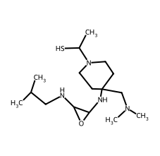 CC(C)CNC1OC1NC1(CN(C)C)CCN(C(C)S)CC1